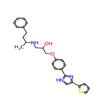 CC(CCc1ccccc1)NCC(O)COc1ccc(-c2nc(-c3cccs3)c[nH]2)cc1